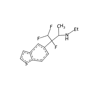 CCNC(C)C(F)(c1ccc2sccc2c1)C(F)F